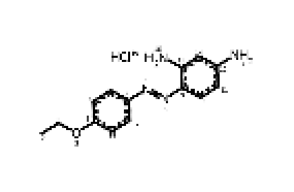 CCOc1ccc(N=Nc2ccc(N)cc2N)cc1.Cl